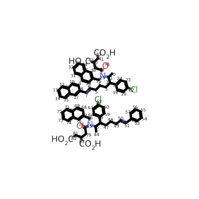 CC(C(CCC/C=C/c1ccc2ccccc2c1)c1ccc(Cl)cc1)N(Cc1ccc2ccccc2c1)C(=O)CC(CC(=O)O)C(=O)O.CC(C(CCC/C=C/c1ccccc1)c1ccc(Cl)cc1)N(Cc1ccc2ccccc2c1)C(=O)CC(CC(=O)O)C(=O)O